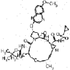 COc1ccc2nc(O[C@@H]3C[C@H]4C(=O)N[C@]5(C(=O)NS(=O)(=O)C6CC6)C[C@H]5/C=C\[C@H](C)CCC[C@@H](C)[C@H](NC(=O)OC(C)(C)C)C(=O)N4C3)cnc2c1